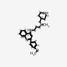 COc1ccc(-c2cc(NCCCN(C)CC3CCNCC3)c3ccccc3n2)cc1